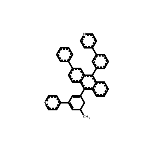 CC1C=C(c2ccncc2)C=C(c2c3ccccc3c(-c3cccc(-c4ccncc4)c3)c3cc(-c4ccccc4)ccc23)C1